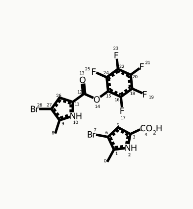 Cc1[nH]c(C(=O)O)cc1Br.Cc1[nH]c(C(=O)Oc2c(F)c(F)c(F)c(F)c2F)cc1Br